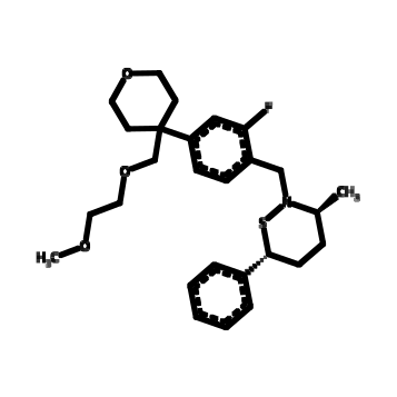 COCCOCC1(c2ccc(CN3S[C@@H](c4ccccc4)CC[C@@H]3C)c(F)c2)CCOCC1